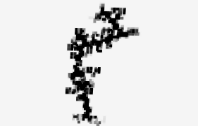 CO[C@@]1(NC(=O)CCC[C@@H](N)C(=O)O)C(=O)N2C(C(=O)O)=C(COC(=O)CC(O)C(CC(N)=O)N[C@H](C(=O)NC(=O)[C@H](CCCN)NC(=O)[C@H](CO)NC(=O)[C@H](C)N)C(C)C)CS[C@@H]21